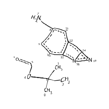 CC(C)(C)OC=O.Nc1ccc2c(c1)c1nn2-1